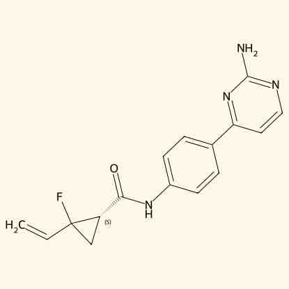 C=CC1(F)C[C@H]1C(=O)Nc1ccc(-c2ccnc(N)n2)cc1